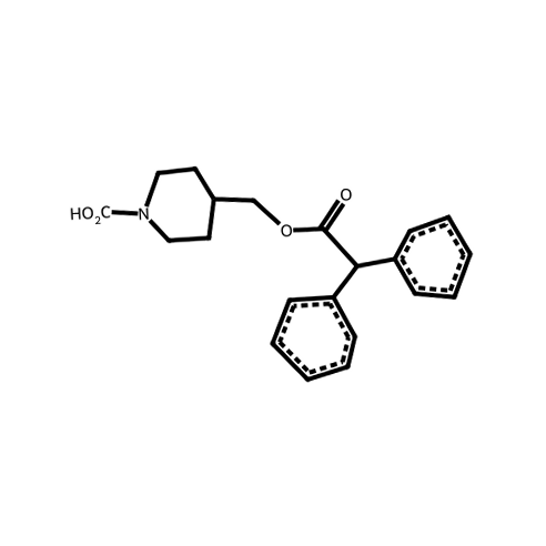 O=C(OCC1CCN(C(=O)O)CC1)C(c1ccccc1)c1ccccc1